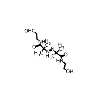 CC(C)(N=NC(C)(C)C(=O)NCCC=O)C(=O)NCCO